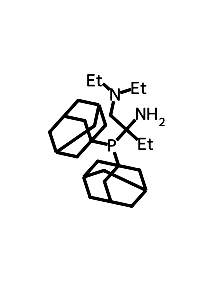 CCN(CC)CC(N)(CC)P(C12CC3CC(CC(C3)C1)C2)C12CC3CC(CC(C3)C1)C2